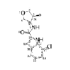 C[C@@H]1COC[C@H]1NC(=O)c1cc2cccc(Cl)c2[nH]1